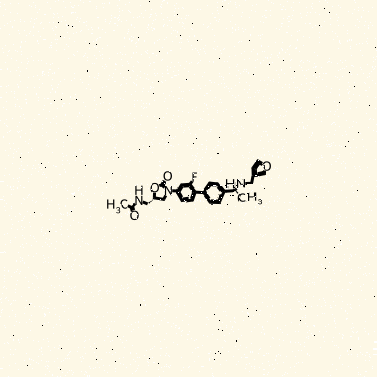 CC(=O)NC[C@H]1CN(c2ccc(-c3ccc([C@@H](C)NCc4ccoc4)cc3)c(F)c2)C(=O)O1